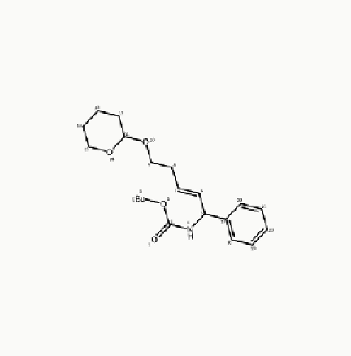 CC(C)(C)OC(=O)NC(C=CCCOC1CCCCO1)c1ccccc1